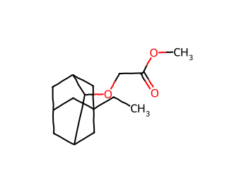 CCC12CC3CC(C1)C(OCC(=O)OC)C(C3)C2